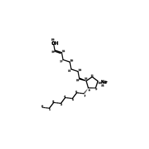 CCCCCCCC[C@H]1CCC[C@@H]1CCCCCC=CO.[Na]